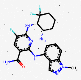 Cn1ncc2c(Nc3nc(N[C@H]4[C@@H](N)CCCC4(F)F)c(F)cc3C(N)=O)cccc21